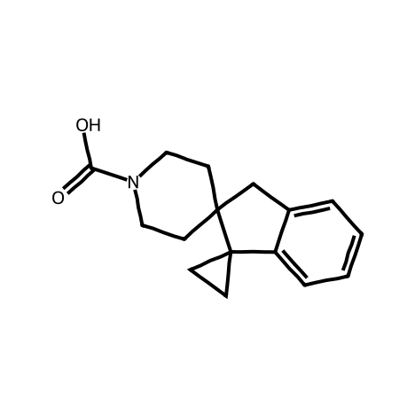 O=C(O)N1CCC2(CC1)Cc1ccccc1C21CC1